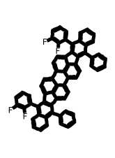 Fc1cccc(-c2c3c(c(-c4ccccc4)c4ccccc24)-c2ccc4c5ccc6c7c(ccc(c8ccc-3c2c48)c75)-c2c-6c(-c3ccccc3)c3ccccc3c2-c2cccc(F)c2F)c1F